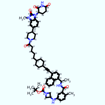 Cc1ccc(NC2CN(C(=O)OC(C)(C)C)C2)cc1C(=O)N[C@H](C)c1ccc(C#CC2CCC(CCCCC(=O)N3CCC(c4ccc5c(c4)n(C)c(=O)n5C4CCC(=O)NC4=O)CC3)CC2)c2ccccc12